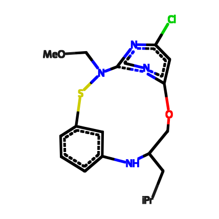 COCN1Sc2cccc(c2)NC(CC(C)C)COc2cc(Cl)nc1n2